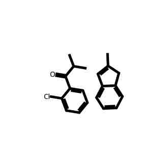 CC(C)C(=O)c1ccccc1Cl.CC1=Cc2ccccc2C1